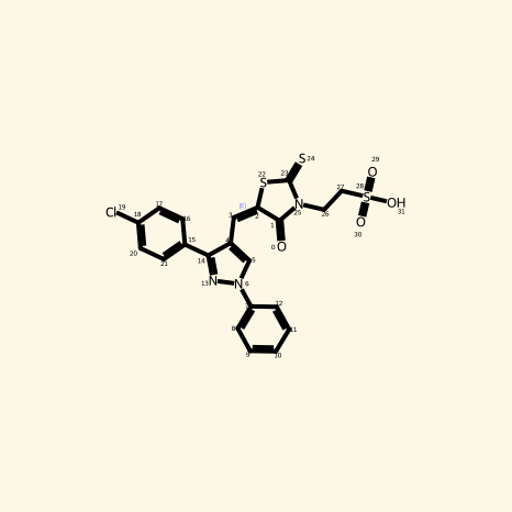 O=C1/C(=C\c2cn(-c3ccccc3)nc2-c2ccc(Cl)cc2)SC(=S)N1CCS(=O)(=O)O